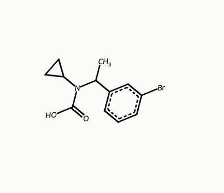 CC(c1cccc(Br)c1)N(C(=O)O)C1CC1